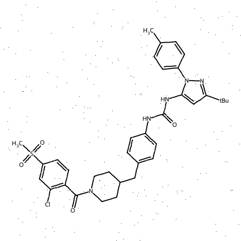 Cc1ccc(-n2nc(C(C)(C)C)cc2NC(=O)Nc2ccc(CC3CCN(C(=O)c4ccc(S(C)(=O)=O)cc4Cl)CC3)cc2)cc1